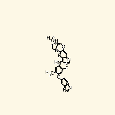 Cc1cc(Nc2ncnc3cc4c(nc23)N2CCN(C)[C@H](CO4)C2)c(F)cc1Oc1ccn2ncnc2c1